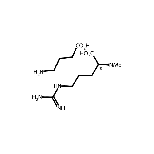 CN[C@@H](CCCNC(=N)N)C(=O)O.NCCCC(=O)O